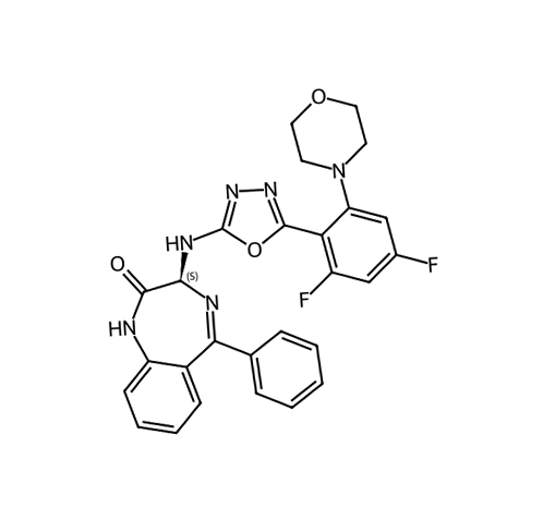 O=C1Nc2ccccc2C(c2ccccc2)=N[C@@H]1Nc1nnc(-c2c(F)cc(F)cc2N2CCOCC2)o1